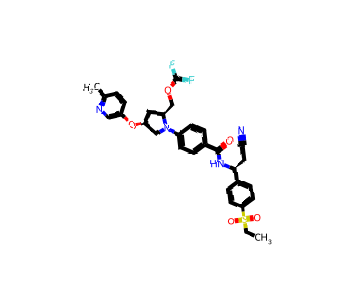 CCS(=O)(=O)c1ccc([C@H](CC#N)NC(=O)c2ccc(N3C[C@@H](Oc4ccc(C)nc4)C[C@H]3COC(F)F)cc2)cc1